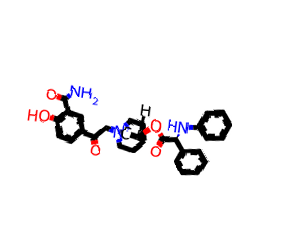 NC(=O)c1cc(C(=O)C[N+]23CCC(CC2)[C@@H](OC(=O)[C@H](Nc2ccccc2)c2ccccc2)C3)ccc1O